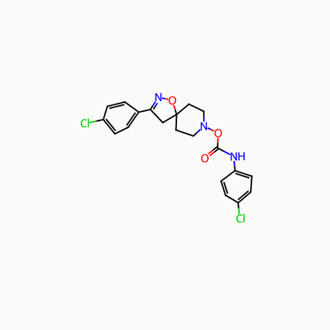 O=C(Nc1ccc(Cl)cc1)ON1CCC2(CC1)CC(c1ccc(Cl)cc1)=NO2